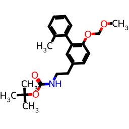 COCOc1ccc(CCNC(=O)OC(C)(C)C)cc1-c1ccccc1C